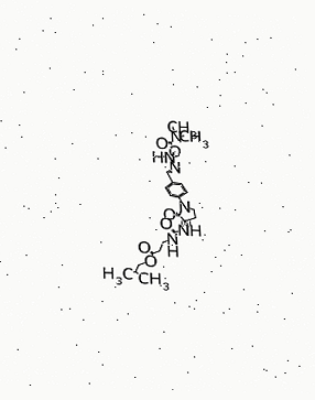 CC(C)COC(=O)CCNC(=O)N[C@H]1CCN(c2ccc(C=NNOC(=O)N(C)C)cc2)C1=O